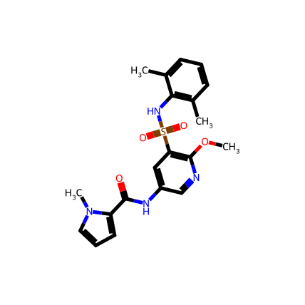 COc1ncc(NC(=O)c2cccn2C)cc1S(=O)(=O)Nc1c(C)cccc1C